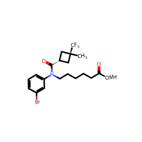 COC(=O)CCCCCN(c1cccc(Br)c1)C(=O)[C@H]1C[C@](C)(C(F)(F)F)C1